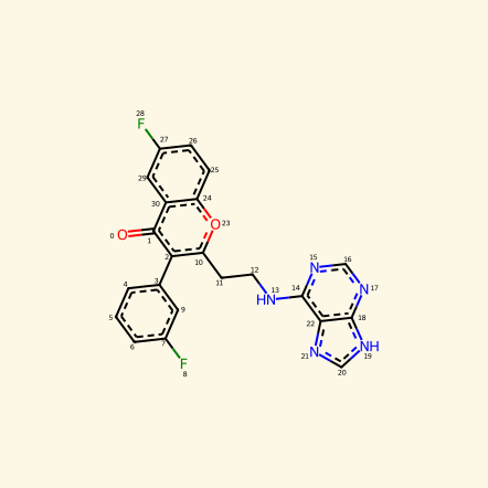 O=c1c(-c2cccc(F)c2)c(CCNc2ncnc3[nH]cnc23)oc2ccc(F)cc12